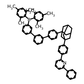 Cc1cc(C)c(B(c2cccc(-c3cccc(-c4ccc(C56CC7CC(C5)CC(c5ccc(-c8cccc(-c9ccccc9)n8)cc5)(C7)C6)cc4)c3)c2)c2c(C)cc(C)cc2C)c(C)c1